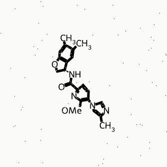 COc1nc(C(=O)N[C@@H]2COc3cc(C)c(C)cc32)ccc1-n1cnc(C)c1